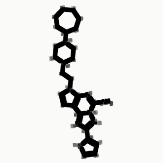 Nc1nc2c(ccn2CCN2CCN(C3CCCCCC3)CC2)c2nc(-c3ccco3)nn12